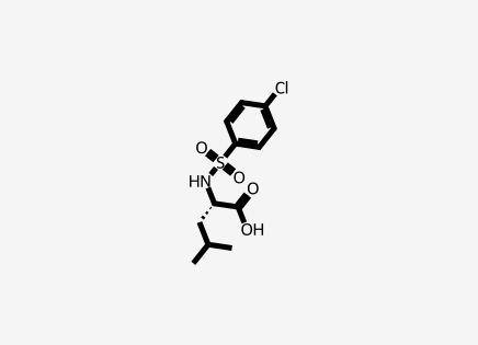 CC(C)C[C@H](NS(=O)(=O)c1ccc(Cl)cc1)C(=O)O